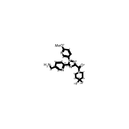 COc1ccc(-n2nc(C(=O)N3CCC(F)(F)CC3)nc2-c2ccc(CN)cn2)cn1